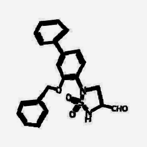 O=CC1CN(c2ccc(-c3ccccc3)cc2OCc2ccccc2)S(=O)(=O)N1